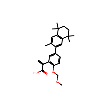 C=C(C(=O)O)c1cc(-c2cc3c(cc2C)C(C)(C)CCC3(C)C)ccc1OCOC